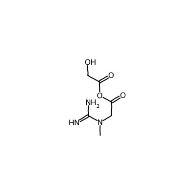 CN(CC(=O)OC(=O)CO)C(=N)N